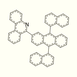 c1ccc2c(-c3c4ccccc4c(-c4cccc5ccccc45)c4cc(-c5nc6ccccc6c6ccccc56)ccc34)cccc2c1